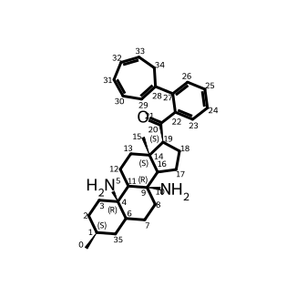 C[C@H]1CC[C@@]2(N)C(CC[C@]3(N)C2CC[C@@]2(C)C3CC[C@@H]2C(=O)c2ccccc2C2=CC=CC=CC2)C1